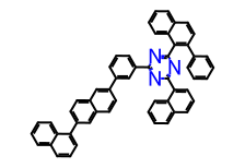 c1ccc(-c2ccc3ccccc3c2-c2nc(-c3cccc(-c4ccc5cc(-c6cccc7ccccc67)ccc5c4)c3)nc(-c3cccc4ccccc34)n2)cc1